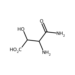 NC(=O)C(N)C(O)C(=O)O